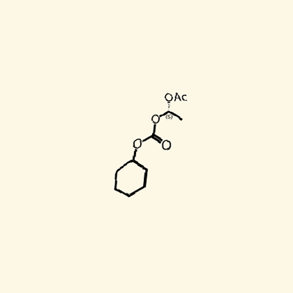 CC(=O)O[C@H](C)OC(=O)OC1CCCCC1